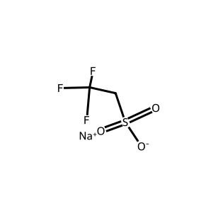 O=S(=O)([O-])CC(F)(F)F.[Na+]